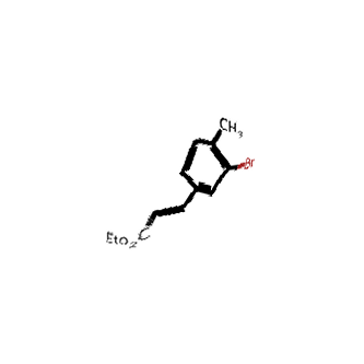 CCOC(=O)/C=C/c1ccc(C)c(Br)c1